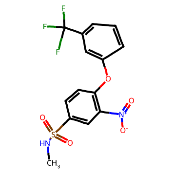 CNS(=O)(=O)c1ccc(Oc2cccc(C(F)(F)F)c2)c([N+](=O)[O-])c1